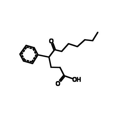 CCCCCCC(=O)C(CCC(=O)O)c1ccccc1